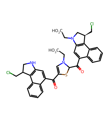 O=C(O)CN1C[C@@H](CCl)c2c1cc(C(=O)C1SC(C(=O)c3cc4c(c5ccccc35)C(CCl)CN4)=CN1CC(=O)O)c1ccccc21